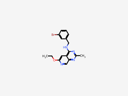 CCOc1cc2c(NCc3cccc(Br)c3)nc(C)nc2cn1